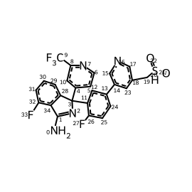 NC1=NC(c2ccnc(C(F)(F)F)c2)(c2cc(-c3cncc(C[SH](=O)=O)c3)ccc2F)c2cccc(F)c21